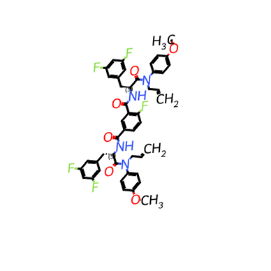 C=CCN(C(=O)[C@H](Cc1cc(F)cc(F)c1)NC(=O)c1ccc(F)c(C(=O)N[C@@H](Cc2cc(F)cc(F)c2)C(=O)N(CC=C)c2ccc(OC)cc2)c1)c1ccc(OC)cc1